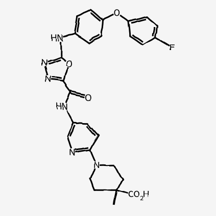 CC1(C(=O)O)CCN(c2ccc(NC(=O)c3nnc(Nc4ccc(Oc5ccc(F)cc5)cc4)o3)cn2)CC1